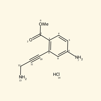 COC(=O)c1ccc(N)cc1C#CCN.Cl